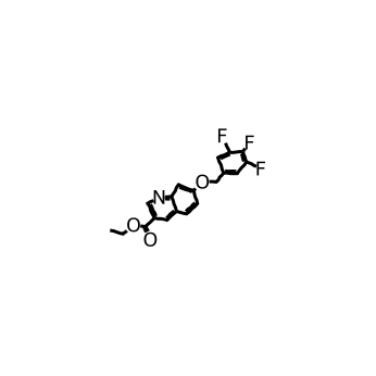 CCOC(=O)c1cnc2cc(OCc3cc(F)c(F)c(F)c3)ccc2c1